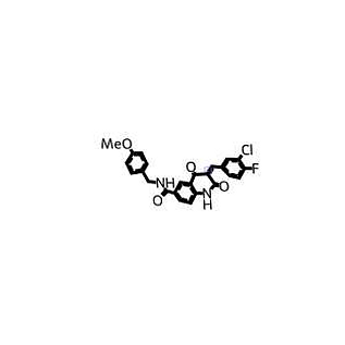 COc1ccc(CNC(=O)c2ccc3c(c2)C(=O)/C(=C/c2ccc(F)c(Cl)c2)C(=O)N3)cc1